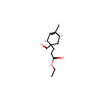 CCOC(=O)CCC1(C=O)CC=C(C)CC1